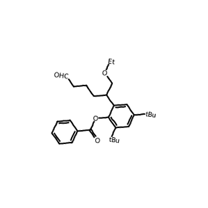 CCOCC(CCCC=O)c1cc(C(C)(C)C)cc(C(C)(C)C)c1OC(=O)c1ccccc1